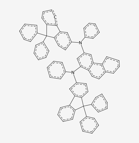 c1ccc(N(c2ccc3c(c2)-c2ccccc2C3(c2ccccc2)c2ccccc2)c2cc(N(c3ccccc3)c3ccc4c(c3)-c3ccccc3C4(c3ccccc3)c3ccccc3)c3ccc4ccccc4c3c2)cc1